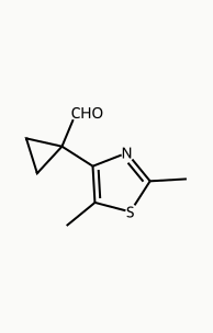 Cc1nc(C2(C=O)CC2)c(C)s1